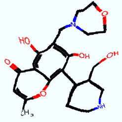 Cc1cc(=O)c2c(O)c(CN3CCOCC3)c(O)c(C3CCNCC3CO)c2o1